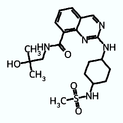 CC(C)(O)CNC(=O)c1cccc2cnc(NC3CCC(NS(C)(=O)=O)CC3)nc12